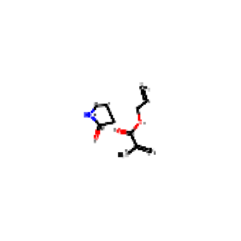 C=CCOC(=O)C(=C)C.O=C1CCCN1